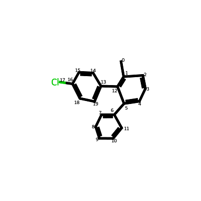 Cc1cccc(-c2ccccc2)c1-c1ccc(Cl)cc1